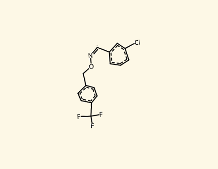 FC(F)(F)c1ccc(CO/N=[C]\c2cccc(Cl)c2)cc1